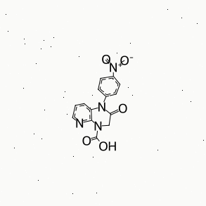 O=C(O)N1CC(=O)N(c2ccc([N+](=O)[O-])cc2)c2cccnc21